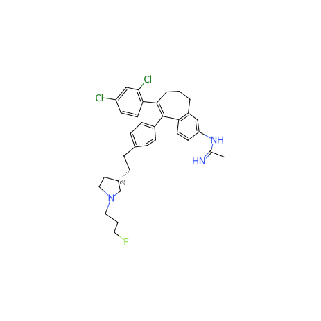 CC(=N)Nc1ccc2c(c1)CCCC(c1ccc(Cl)cc1Cl)=C2c1ccc(CC[C@H]2CCN(CCCF)C2)cc1